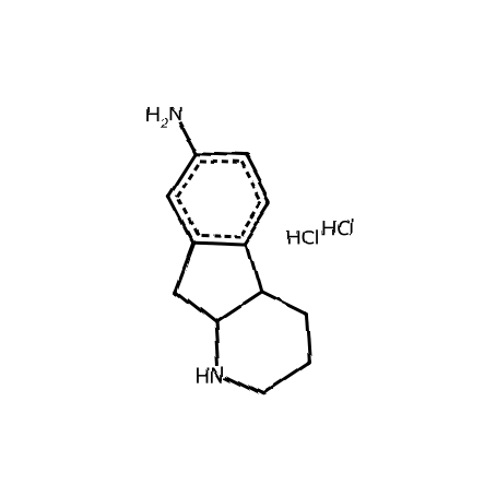 Cl.Cl.Nc1ccc2c(c1)CC1NCCCC21